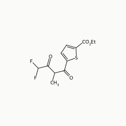 CCOC(=O)c1ccc(C(=O)C(C)C(=O)C(F)F)s1